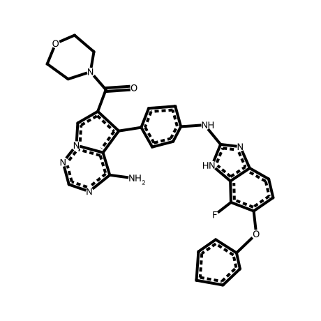 Nc1ncnn2cc(C(=O)N3CCOCC3)c(-c3ccc(Nc4nc5ccc(Oc6ccccc6)c(F)c5[nH]4)cc3)c12